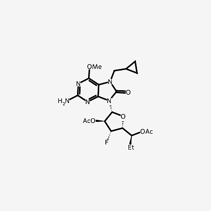 CC[C@H](OC(C)=O)[C@H]1O[C@@H](n2c(=O)n(CC3CC3)c3c(OC)nc(N)nc32)[C@H](OC(C)=O)[C@H]1F